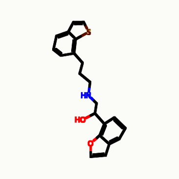 OC(CNCCCc1cccc2ccsc12)c1cccc2ccoc12